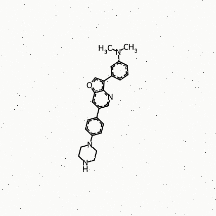 CN(C)c1cccc(-c2coc3cc(-c4ccc(N5CCNCC5)cc4)cnc23)c1